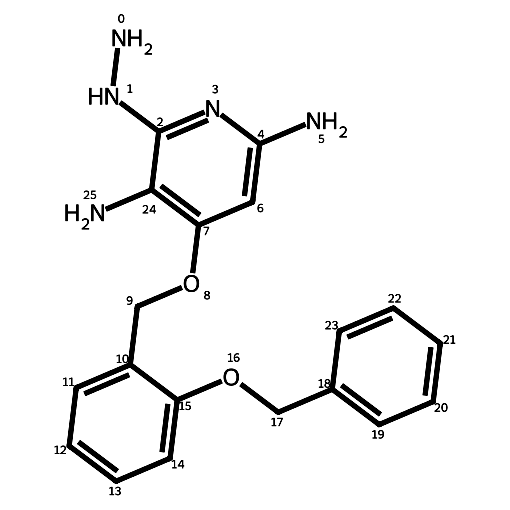 NNc1nc(N)cc(OCc2ccccc2OCc2ccccc2)c1N